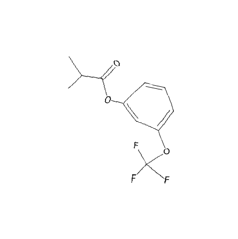 CC(C)C(=O)Oc1cccc(OC(F)(F)F)c1